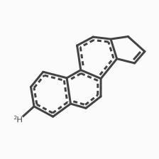 [2H]c1ccc2c(ccc3c4c(ccc32)CC=C4)c1